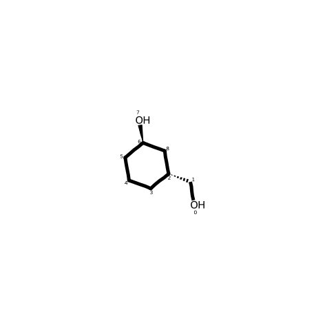 OC[C@@H]1CCC[C@@H](O)C1